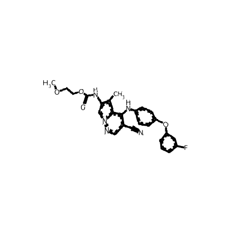 COCCOC(=O)Nc1cn2ncc(C#N)c(Nc3ccc(Oc4cccc(F)c4)cc3)c2c1C